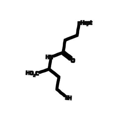 CCCCCCCCCC(=O)NC(CCS)C(=O)O